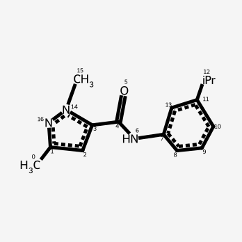 Cc1cc(C(=O)Nc2cccc(C(C)C)c2)n(C)n1